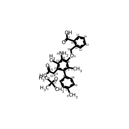 Cc1ccc(-c2c(C)c(OCc3ccccc3C(=O)O)c(N)c(C)c2[C@H](OC(C)(C)C)C(=O)O)cc1